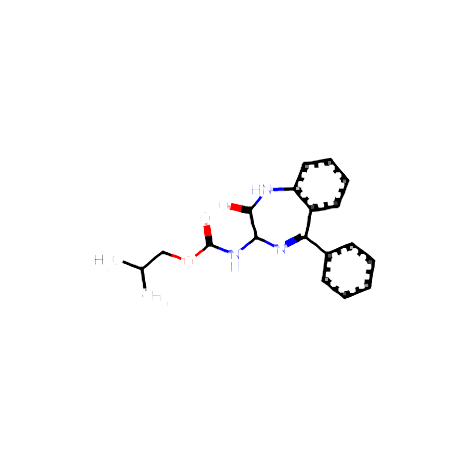 CC(C)COC(=O)NC1N=C(c2ccccc2)c2ccccc2NC1=O